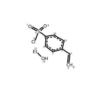 C=Cc1ccc(S(=O)(=O)Cl)cc1.CCO